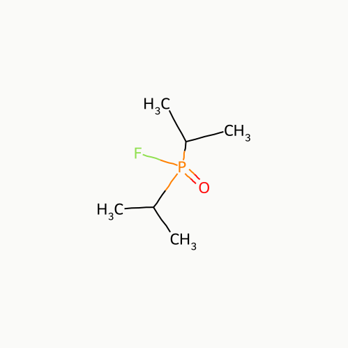 CC(C)P(=O)(F)C(C)C